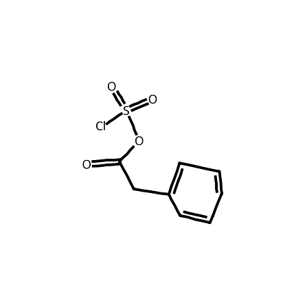 O=C(Cc1ccccc1)OS(=O)(=O)Cl